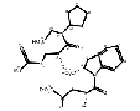 CCOC(=O)[C@H](C)C[C@@H](C)C(=O)N1c2ccccc2C[C@H]1C(=O)O.C[C@H](CSC(=O)C(C)(C)C)C(=O)N(CC(=O)O)C1CCCC1